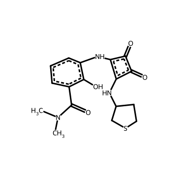 CN(C)C(=O)c1cccc(Nc2c(NC3CCSC3)c(=O)c2=O)c1O